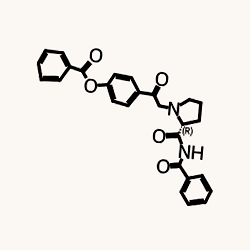 O=C(CN1CCC[C@@H]1C(=O)NC(=O)c1ccccc1)c1ccc(OC(=O)c2ccccc2)cc1